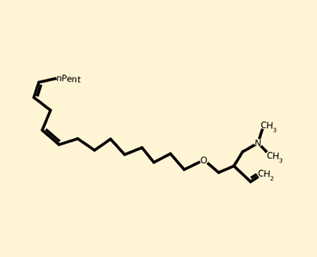 C=CC(COCCCCCCCC/C=C\C/C=C\CCCCC)CN(C)C